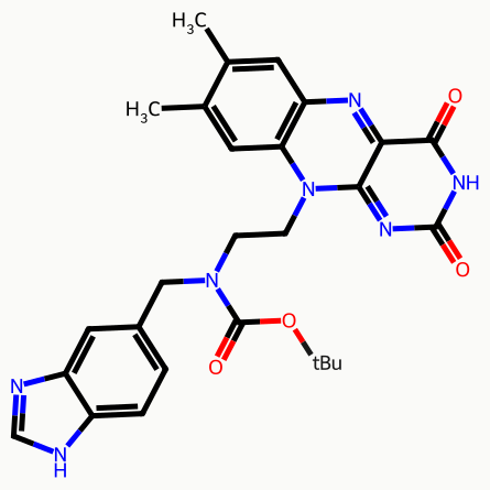 Cc1cc2nc3c(=O)[nH]c(=O)nc-3n(CCN(Cc3ccc4[nH]cnc4c3)C(=O)OC(C)(C)C)c2cc1C